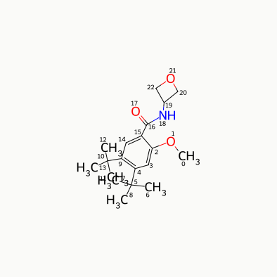 COc1cc(C(C)(C)C)c(C(C)(C)C)cc1C(=O)NC1COC1